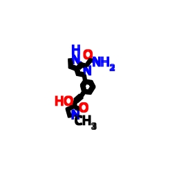 CN1CCC(O)(C#Cc2cccc(-c3cc4cc[nH]c4c(C(N)=O)n3)c2)C1=O